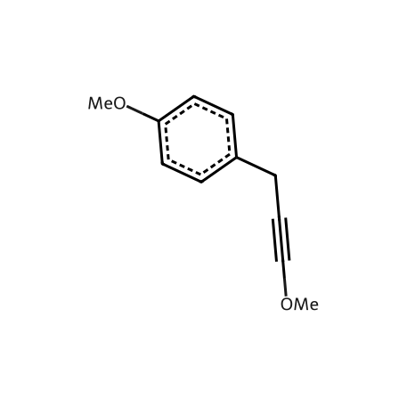 COC#CCc1ccc(OC)cc1